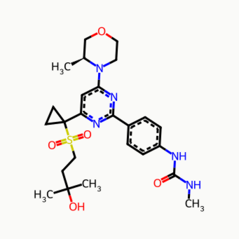 CNC(=O)Nc1ccc(-c2nc(N3CCOC[C@@H]3C)cc(C3(S(=O)(=O)CCC(C)(C)O)CC3)n2)cc1